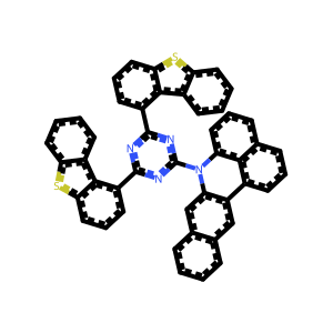 c1ccc2cc3c(cc2c1)-c1cccc2cccc(c12)N3c1nc(-c2cccc3sc4ccccc4c23)nc(-c2cccc3sc4ccccc4c23)n1